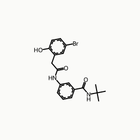 CC(C)(C)NC(=O)c1cccc(NC(=O)Cc2cc(Br)ccc2O)c1